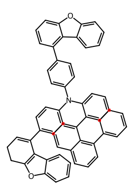 C1=CCCC(c2cccc3cccc(-c4ccccc4N(c4ccc(C5=CCCc6oc7ccccc7c65)cc4)c4ccc(-c5cccc6oc7ccccc7c56)cc4)c23)=C1